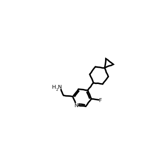 NCc1cc(C2CCC3(CC2)CC3)c(F)cn1